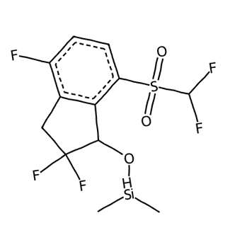 C[SiH](C)OC1c2c(S(=O)(=O)C(F)F)ccc(F)c2CC1(F)F